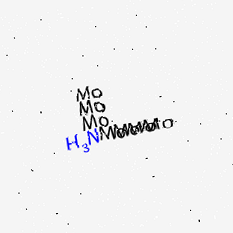 N.[Mo].[Mo].[Mo].[Mo].[Mo].[Mo].[Mo]